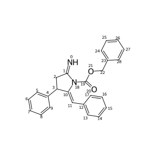 N=C1CC(c2ccccc2)/C(=C/c2ccccc2)N1C(=O)OCc1ccccc1